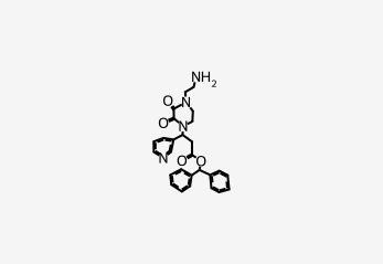 NCCN1CCN(C(CC(=O)OC(c2ccccc2)c2ccccc2)c2cccnc2)C(=O)C1=O